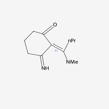 CCC/C(NC)=C1/C(=N)CCCC1=O